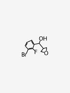 OC(c1cccc(Br)c1F)C1COC1